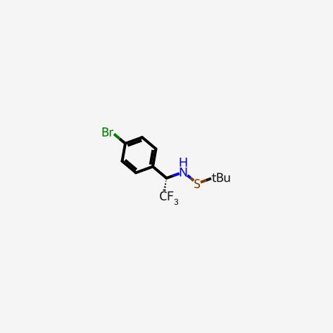 CC(C)(C)SN[C@@H](c1ccc(Br)cc1)C(F)(F)F